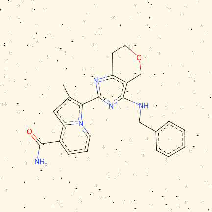 Cc1cc2c(C(N)=O)cccn2c1-c1nc2c(c(NCc3ccccc3)n1)COCC2